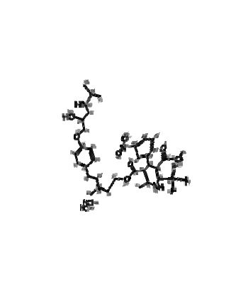 COC(=O)C1=C(C(F)(F)F)NC(C)=C(C(=O)OCCN(C)CCc2ccc(OCC(O)CNC(C)C)cc2)C1c1cccc([N+](=O)[O-])c1.Cl.Cl